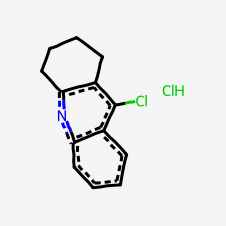 Cl.Clc1c2c(nc3ccccc13)CCCC2